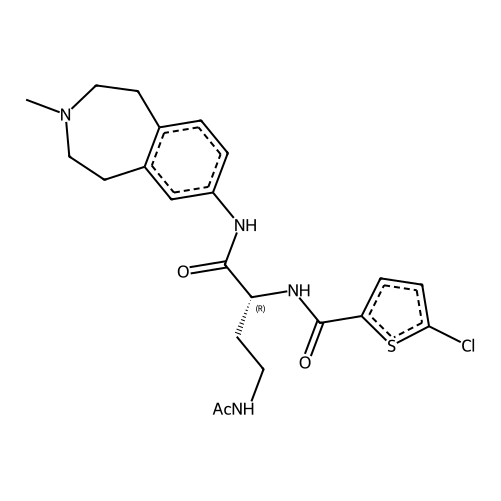 CC(=O)NCC[C@@H](NC(=O)c1ccc(Cl)s1)C(=O)Nc1ccc2c(c1)CCN(C)CC2